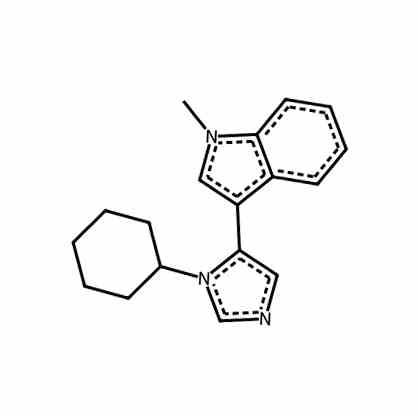 Cn1cc(-c2cncn2C2CCCCC2)c2ccccc21